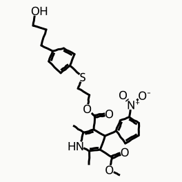 COC(=O)C1=C(C)NC(C)=C(C(=O)OCCSc2ccc(CCCO)cc2)C1c1cccc([N+](=O)[O-])c1